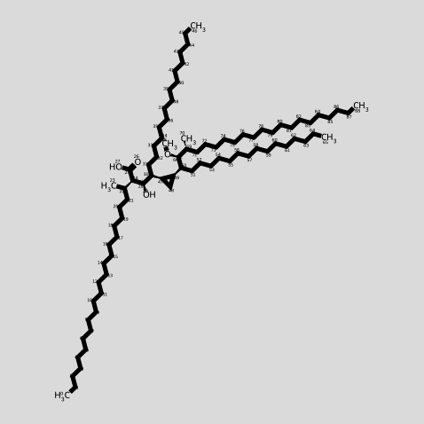 CCCCCCCCCCCCCCCCCCCCCCC(C)[C@@H](C(=O)O)[C@H](O)C(CCCCCCCCCCCCCCCC)[C@@H]1C[C@@H]1C(CCCCCCCCCCCCCCC)[C@@H](OC)[C@H](C)CCCCCCCCCCCCCCCCCC